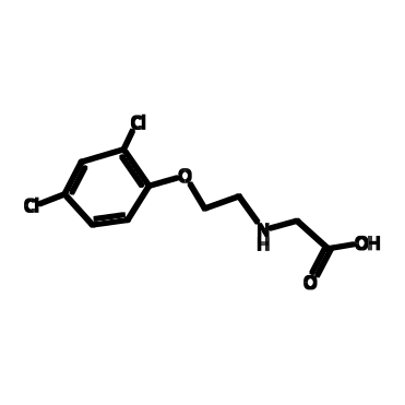 O=C(O)CNCCOc1ccc(Cl)cc1Cl